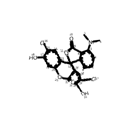 CN(C)c1cccc2c1C(=O)OC21c2cc(Cl)c(O)cc2Oc2cc(O)c(Cl)cc21